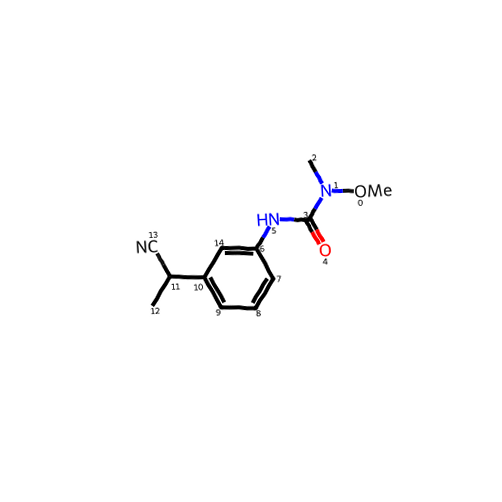 CON(C)C(=O)Nc1cccc(C(C)C#N)c1